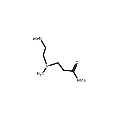 CNCCN(C)CCC(=O)NC